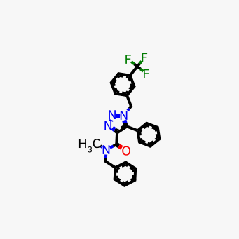 CN(Cc1ccccc1)C(=O)c1nnn(Cc2cccc(C(F)(F)F)c2)c1-c1ccccc1